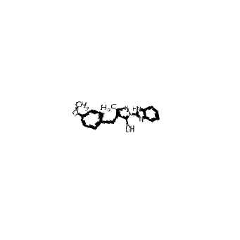 COc1ccc(Cc2c(C)nn(-c3nc4ccccc4[nH]3)c2O)cc1